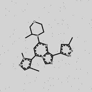 Cc1cc(-c2ncn3c(-c4c(C)cnn4C)cc(N4CCOCC4C)nc23)[nH]n1